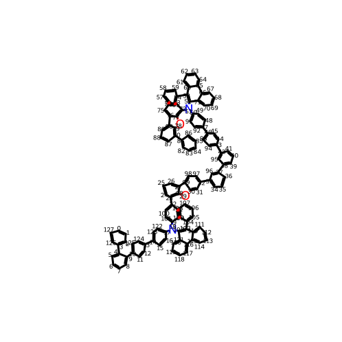 c1ccc(-c2ccccc2-c2ccc(-c3ccc(N(c4ccc(-c5cccc6c5oc5cc(-c7cccc(-c8cccc(-c9ccc(-c%10ccc(N(c%11c(-c%12ccccc%12)c%12ccccc%12c%12ccccc%11%12)c%11cccc%12c%11oc%11c(-c%13ccccc%13)cccc%11%12)cc%10)cc9)c8)c7)ccc56)cc4)c4c(-c5ccccc5)c5ccccc5c5ccccc45)cc3)cc2)cc1